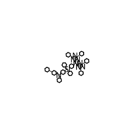 c1ccc(-c2ccc(N(c3ccccc3)c3ccc([Si](c4ccccc4)(c4ccccc4)c4ccc(N(c5nc(-c6ccccc6)nc(-c6ccccc6)n5)c5nc(-c6ccccc6)nc(-c6ccccc6)n5)cc4)cc3)cc2)cc1